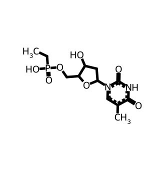 CCP(=O)(O)OCC1OC(n2cc(C)c(=O)[nH]c2=O)CC1O